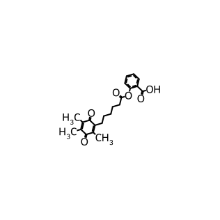 CC1=C(C)C(=O)C(CCCCCC(=O)Oc2ccccc2C(=O)O)=C(C)C1=O